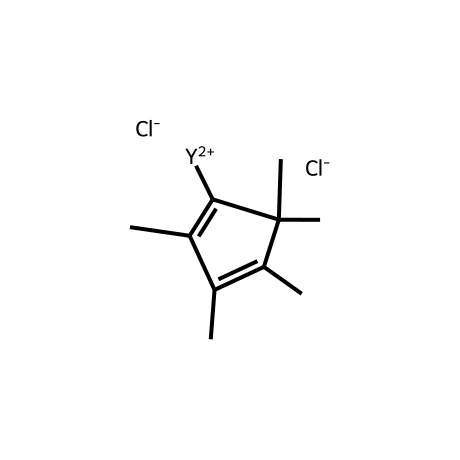 CC1=C(C)C(C)(C)[C]([Y+2])=C1C.[Cl-].[Cl-]